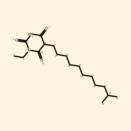 CCN1C(=O)NC(=O)C(CCCCCCCCCC(C)C)C1=O